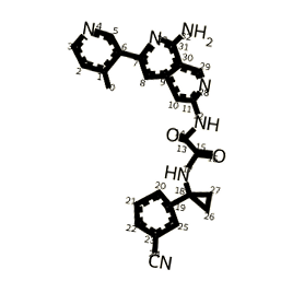 Cc1ccncc1-c1cc2cc(NC(=O)C(=O)NC3(c4cccc(C#N)c4)CC3)ncc2c(N)n1